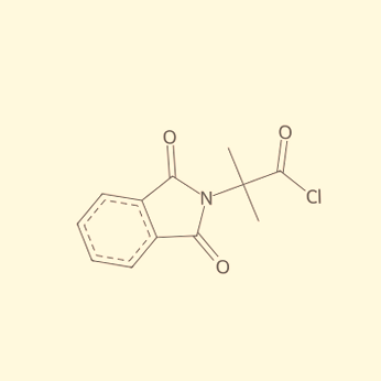 CC(C)(C(=O)Cl)N1C(=O)c2ccccc2C1=O